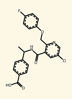 CC(NC(=O)c1cc(Cl)cnc1COc1ccc(F)cc1)c1ccc(C(=O)O)cc1